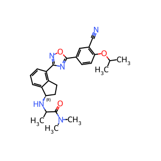 CC(C)Oc1ccc(-c2nc(-c3cccc4c3CC[C@H]4NC(C)C(=O)N(C)C)no2)cc1C#N